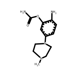 CN1CCN(c2ccc(N)c(OC(N)=O)c2)CC1